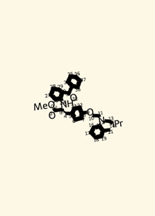 COC(=O)[C@H](Cc1ccc(OCCN(CC(C)C)c2ccccc2C)cc1)Nc1ccccc1C(=O)c1ccccc1